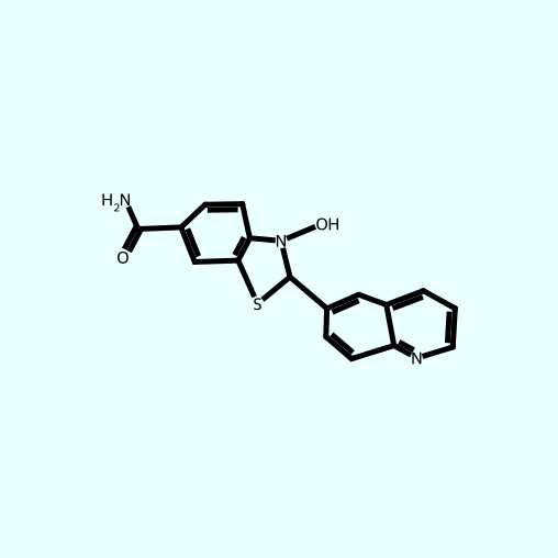 NC(=O)c1ccc2c(c1)SC(c1ccc3ncccc3c1)N2O